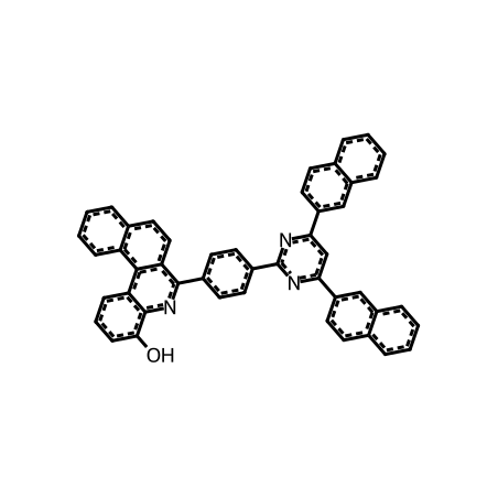 Oc1cccc2c1nc(-c1ccc(-c3nc(-c4ccc5ccccc5c4)cc(-c4ccc5ccccc5c4)n3)cc1)c1ccc3ccccc3c12